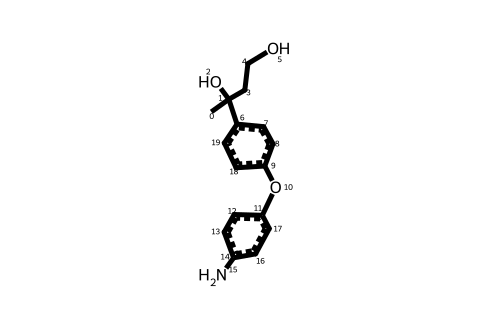 CC(O)(CCO)c1ccc(Oc2ccc(N)cc2)cc1